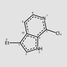 CCc1c[nH]c2c(Cl)nccc12